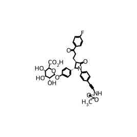 CS(=O)(=O)NC#Cc1ccc(N2C(=O)[C@H](CCC(=O)c3ccc(F)cc3)[C@H]2c2ccc(O[C@@H]3O[C@H](C(=O)O)[C@@H](O)[C@H](O)[C@H]3O)cc2)cc1